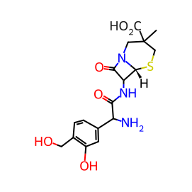 CC1(C(=O)O)CS[C@@H]2C(NC(=O)C(N)c3ccc(CO)c(O)c3)C(=O)N2C1